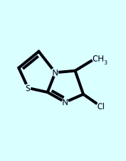 CC1C(Cl)N=C2SC=CN21